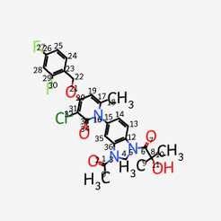 CC(=O)N1CN(C(=O)C(C)(C)O)c2ccc(-n3c(C)cc(OCc4ccc(F)cc4F)c(Cl)c3=O)cc21